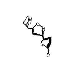 OCc1cc(-c2ccc(Cl)s2)no1